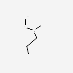 CC(C)CCN(NC(C)(C)C)C(=O)O